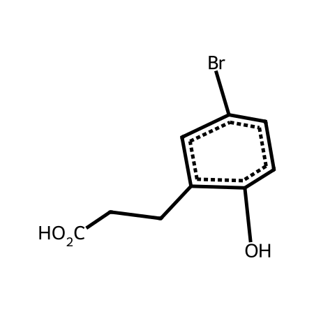 O=C(O)CCc1cc(Br)ccc1O